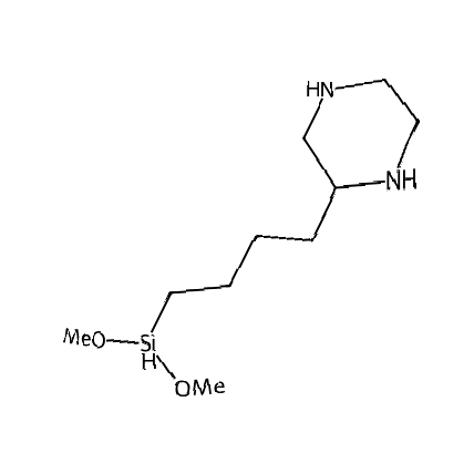 CO[SiH](CCCCC1CNCCN1)OC